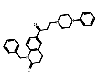 O=C(CCN1CCN(c2ccccc2)CC1)c1ccc2c(c1)CCC(=O)N2Cc1ccccc1